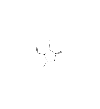 C=CC1N(Cl)CC(=O)N1Cl